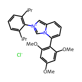 COc1cc(OC)c(-c2cccc3c[n+](-c4c(C(C)C)cccc4C(C)C)cn23)c(OC)c1.[Cl-]